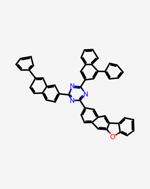 c1ccc(-c2ccc3ccc(-c4nc(-c5ccc6cc7oc8ccccc8c7cc6c5)nc(-c5cc(-c6ccccc6)c6ccccc6c5)n4)cc3c2)cc1